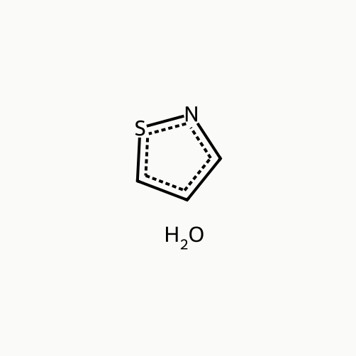 O.c1cnsc1